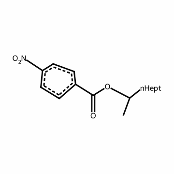 CCCCCCCC(C)OC(=O)c1ccc([N+](=O)[O-])cc1